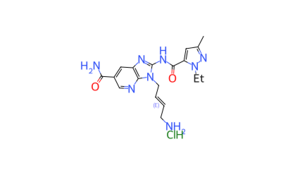 CCn1nc(C)cc1C(=O)Nc1nc2cc(C(N)=O)cnc2n1C/C=C/CN.Cl